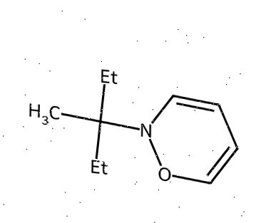 CCC(C)(CC)N1C=CC=CO1